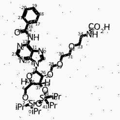 CC(C)[Si]1(C(C)C)OC[C@H]2O[C@@H](n3cnc4c(NC(=O)c5ccccc5)ncnc43)[C@H](OCOCCOCCNC(=O)O)[C@@H]2O[Si](C(C)C)(C(C)C)O1